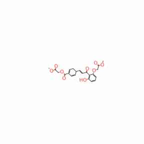 COC(=O)COC(=O)C1=CCC(C=CC(=O)c2c(O)cccc2OCC(=O)OC)C=C1